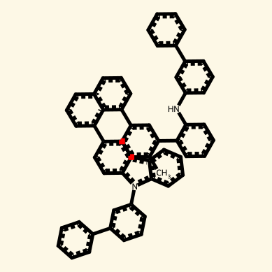 Cc1ccc(-c2cccc3cccc(-c4ccc5c(c4)c4ccccc4n5-c4cccc(-c5ccccc5)c4)c23)cc1-c1ccccc1Nc1cccc(-c2ccccc2)c1